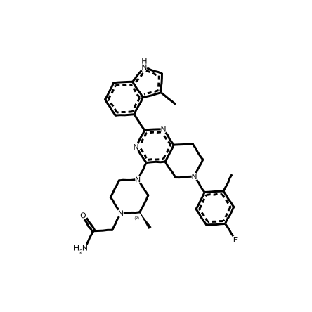 Cc1cc(F)ccc1N1CCc2nc(-c3cccc4[nH]cc(C)c34)nc(N3CCN(CC(N)=O)[C@H](C)C3)c2C1